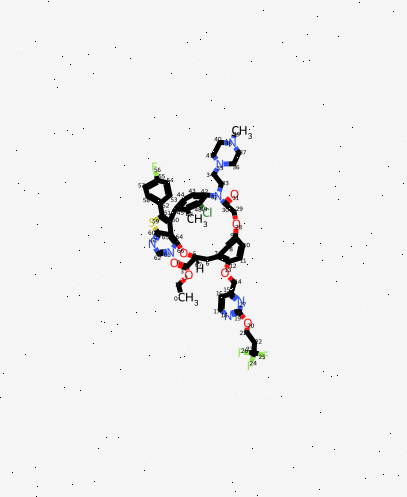 CCOC(=O)[C@H]1Cc2cc(ccc2OCc2ccnc(OCCC(F)(F)F)n2)OCC(=O)N(CCN2CCN(C)CC2)c2ccc(c(C)c2Cl)-c2c(-c3ccc(F)cc3)sc3ncnc(c23)O1